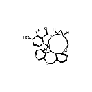 O=C1C2=C(O)C(O)C=CN2N2CN1[C@@H]1C[C@@H]1CCOc1cccc3c1[C@H]2c1ccccc1SC3